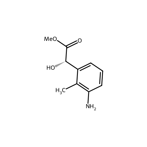 COC(=O)[C@@H](O)c1cccc(N)c1C